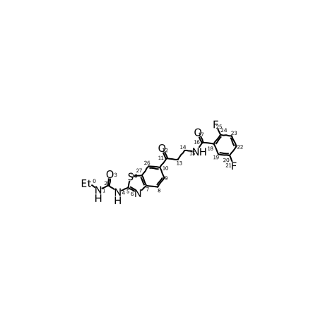 CCNC(=O)Nc1nc2ccc(C(=O)CCNC(=O)c3cc(F)ccc3F)cc2s1